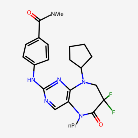 CCCN1C(=O)C(F)(F)CN(C2CCCC2)c2nc(Nc3ccc(C(=O)NC)cc3)ncc21